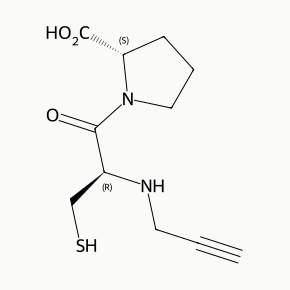 C#CCN[C@@H](CS)C(=O)N1CCC[C@H]1C(=O)O